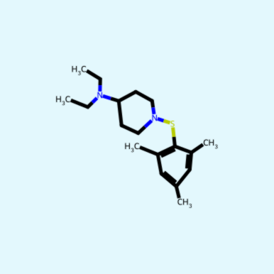 CCN(CC)C1CCN(Sc2c(C)cc(C)cc2C)CC1